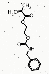 C=C(C)C(=O)OCCOC(=O)NCc1ccccc1